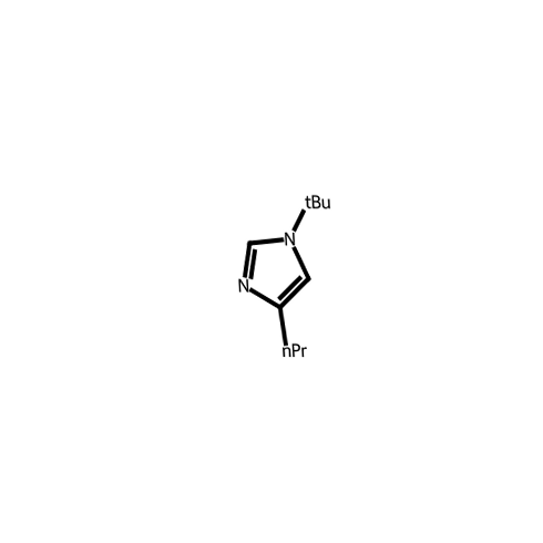 CCCc1cn(C(C)(C)C)cn1